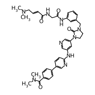 CN(C)CC=CC(=O)NCC(=O)Nc1cccc(CN2CCN(c3cncc(Nc4ccc(-c5ccc(C(=O)N(C)C)cc5)cn4)c3)C2=O)c1